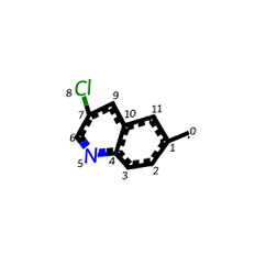 [CH2]c1ccc2ncc(Cl)cc2c1